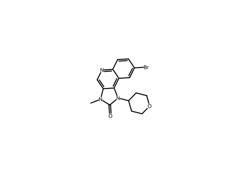 Cn1c(=O)n(C2CCOCC2)c2c3cc(Br)ccc3ncc21